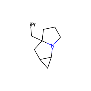 CC(C)CC12CCCN1C1CC1C2